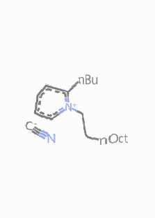 CCCCCCCCCC[n+]1ccccc1CCCC.[C-]#N